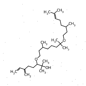 C=CC(=C)CCC(OCCC(C)CCCC(C)(C)OCCC(C)CCC=C(C)C)C(C)(C)O